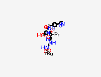 CC(C)C(C(=O)N1C[C@H](O)C[C@H]1C(=O)N[C@@H](C)c1ccc(-c2ccnn2C)cc1)c1cc(NCCNC(=O)OC(C)(C)C)no1